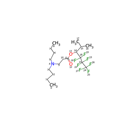 CCCCN(CCCC)CCC(=O)OC(C(C)C)C(F)(F)C(F)(F)C(F)(F)F